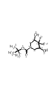 CC(C)(C)OC(=O)N1CC(O)C(F)(F)C(O)C1